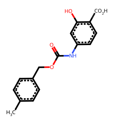 Cc1ccc(COC(=O)Nc2ccc(C(=O)O)c(O)c2)cc1